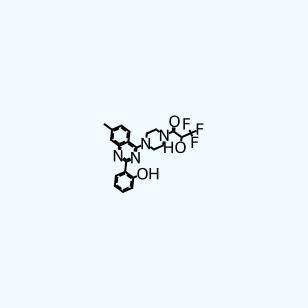 Cc1ccc2c(N3CCN(C(=O)C(O)C(F)(F)F)CC3)nc(-c3ccccc3O)nc2c1